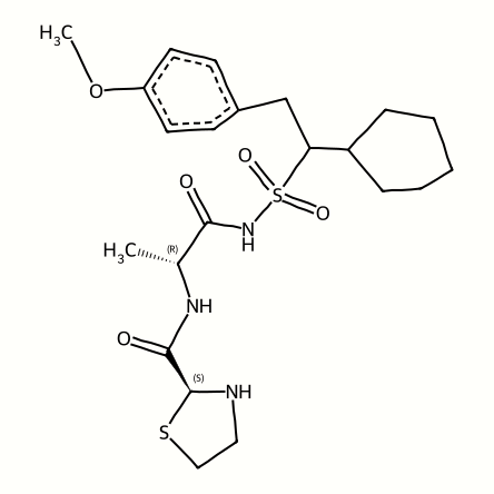 COc1ccc(CC(C2CCCCC2)S(=O)(=O)NC(=O)[C@@H](C)NC(=O)[C@H]2NCCS2)cc1